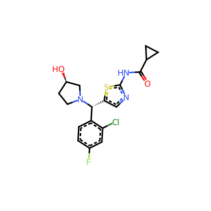 O=C(Nc1ncc([C@H](c2ccc(F)cc2Cl)N2CC[C@@H](O)C2)s1)C1CC1